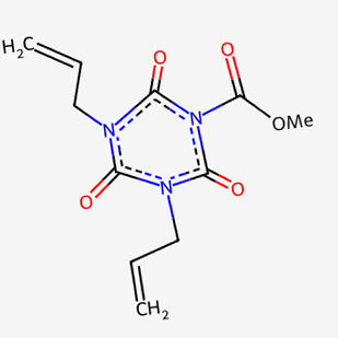 C=CCn1c(=O)n(CC=C)c(=O)n(C(=O)OC)c1=O